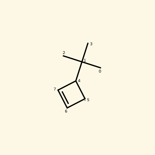 CC(C)(C)C1[CH]C=C1